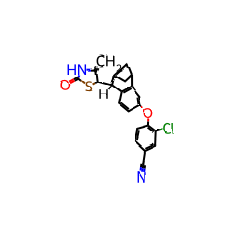 C=C1NC(=O)SC1[C@H]1c2ccc(Oc3ccc(C#N)cc3Cl)cc2C2CC1C2